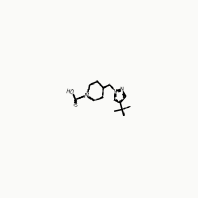 CC(C)(C)c1cnn(CC2CCN(C(=O)O)CC2)c1